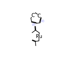 C1=C\CCCC\C=C/1.C=C(C)[CH2][Ru][CH2]C(=C)C